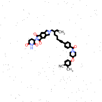 C=CC(CCCC#Cc1ccc(C(=O)N2CCC(Oc3ccc(C#N)c(C)c3)CC2)cc1)CN1Cc2cc3c(cc2C1)C(=O)N(C1CCC(=O)NC1=O)C3=O